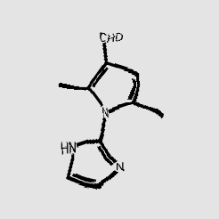 Cc1cc(C=O)c(C)n1-c1ncc[nH]1